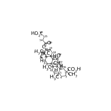 CC1(C(=O)O)CC[C@]2(C)CC[C@]3(C)[C@H](CC(=O)[C@@H]4[C@@]5(C)CC=C(OC(=O)CCC(=O)O)C(C)(C)C5CC[C@]43C)[C@H]2C1